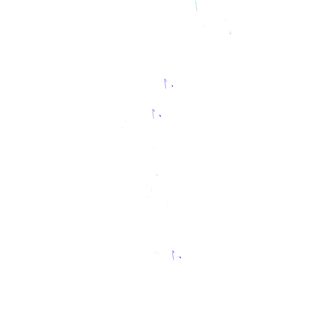 Cc1[nH]c2ccc(Oc3cccc(C(=O)N4CCN(CCc5cccc(F)c5)CC4)c3)cc2c1C